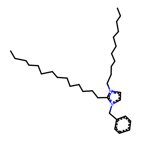 CCCCCCCCCCCCCCc1n(Cc2ccccc2)cc[n+]1CCCCCCCCCCC